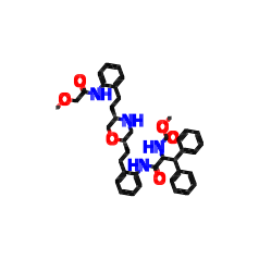 COCC(=O)Nc1ccccc1CC[C@@H]1CO[C@H](CCc2ccccc2NC(=O)[C@@H](NC(=O)OC)C(c2ccccc2)c2ccccc2)CN1